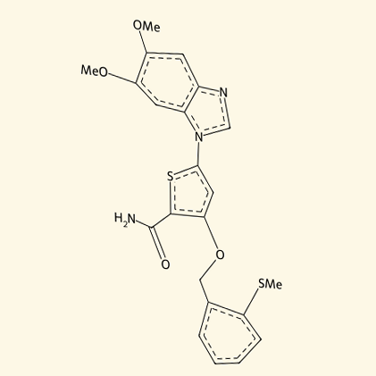 COc1cc2ncn(-c3cc(OCc4ccccc4SC)c(C(N)=O)s3)c2cc1OC